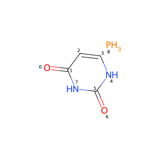 O=c1cc[nH]c(=O)[nH]1.P